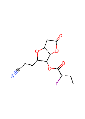 CCC(I)C(=O)OC1C(CCC#N)OC2CC(=O)OC21